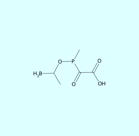 BC(C)OP(C)C(=O)C(=O)O